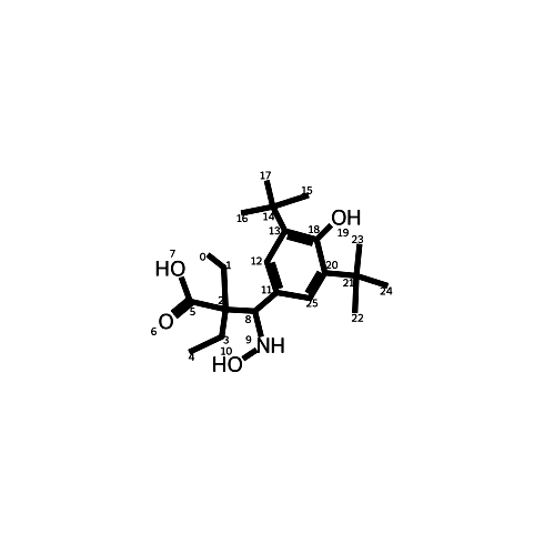 CCC(CC)(C(=O)O)C(NO)c1cc(C(C)(C)C)c(O)c(C(C)(C)C)c1